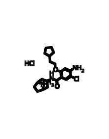 CN1C2CCC1CC(NC(=O)c1cc(Cl)c(N)cc1OCCC1CCCC1)C2.Cl